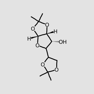 CC1(C)OCC(C2O[C@@H]3OC(C)(C)O[C@@H]3[C@@H]2O)O1